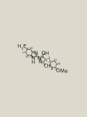 COc1ccc(Cc2c(C)nn(-c3nc4cc(C)ccc4[nH]3)c2O)cc1